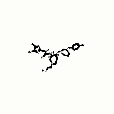 CC(=O)c1sc(NC(=O)N[C@@H]2CN(CCO)CC[C@H]2CN2CCC[C@@H](Cc3ccc(F)cc3)C2)nc1C